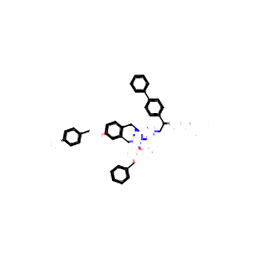 O=C(O)C(CNC(=O)[N+]1(C(=O)OCc2ccccc2)CCc2ccc(OCc3ccc(C(F)(F)F)cc3)cc2C1)c1ccc(-c2ccccc2)cc1